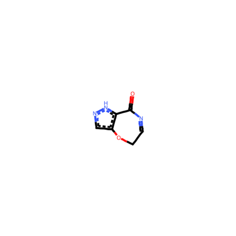 O=C1N=CCOc2cn[nH]c21